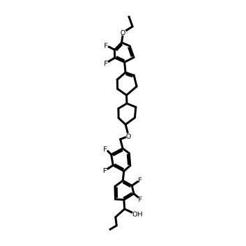 CCCC(O)c1ccc(-c2ccc(COC3CCC(C4CC=C(c5ccc(OCC)c(F)c5F)CC4)CC3)c(F)c2F)c(F)c1F